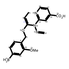 Bc1ccc(CO/C(=C/C)N(N=C)c2cc(C(=O)O)ccn2)c(OC)c1